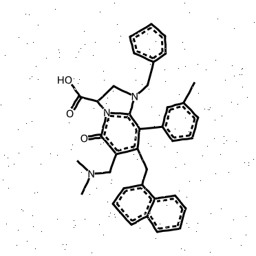 Cc1cccc(-c2c(Cc3cccc4ccccc34)c(CN(C)C)c(=O)n3c2N(Cc2ccccc2)CC3C(=O)O)c1